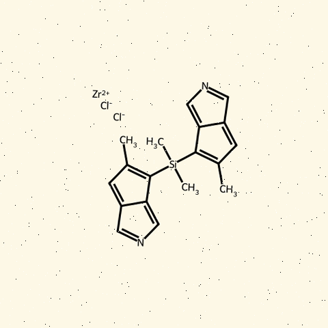 CC1=C([Si](C)(C)C2=C(C)C=C3C=NC=C32)C2=CN=CC2=C1.[Cl-].[Cl-].[Zr+2]